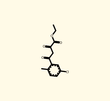 CCOC(=O)C(=O)CC(=O)c1cc(Cl)ccc1C